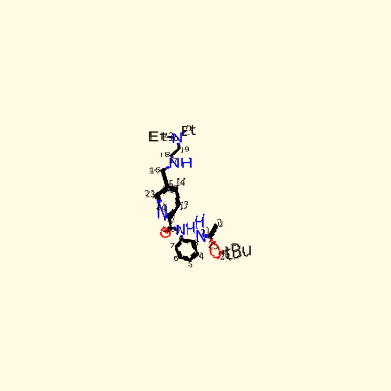 C=C(Nc1ccccc1NC(=O)c1ccc(CNCCN(CC)CC)cn1)OC(C)(C)C